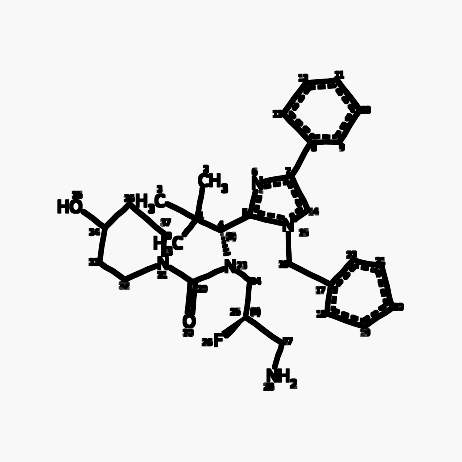 CC(C)(C)[C@H](c1nc(-c2ccccc2)cn1Cc1ccccc1)N(C[C@H](F)CN)C(=O)N1CCC(O)CC1